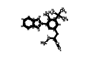 COC(=C=O)Cc1cc(-n2nc3ccccc3n2)c(O)c(C(C)(C)C)c1